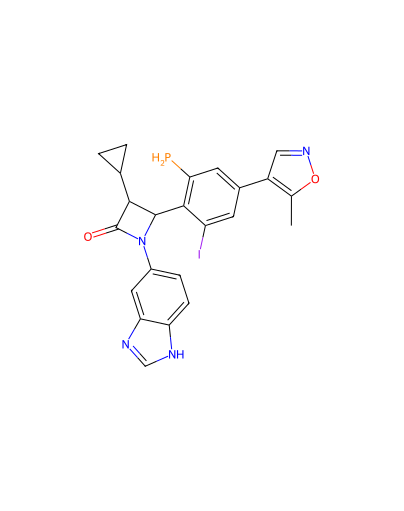 Cc1oncc1-c1cc(P)c(C2C(C3CC3)C(=O)N2c2ccc3[nH]cnc3c2)c(I)c1